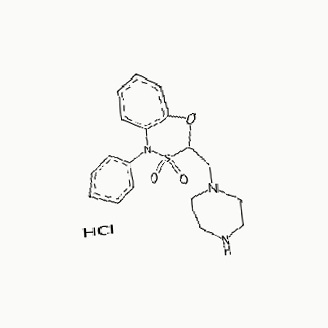 Cl.O=S1(=O)C(CN2CCNCC2)Oc2ccccc2N1c1ccccc1